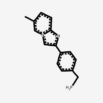 Cc1ccc2nc(-c3ccc(CP)cc3)cn2c1